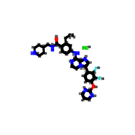 CCc1cc(Nc2nccn3c(-c4ccc(Oc5ncccn5)c(F)c4F)cnc23)ccc1C(=O)NCC1CCNCC1.Cl